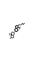 C/C=C/CCc1ccc2cc([C@@H]3CC[C@@H]4CC(C)CCC4C3)ccc2c1F